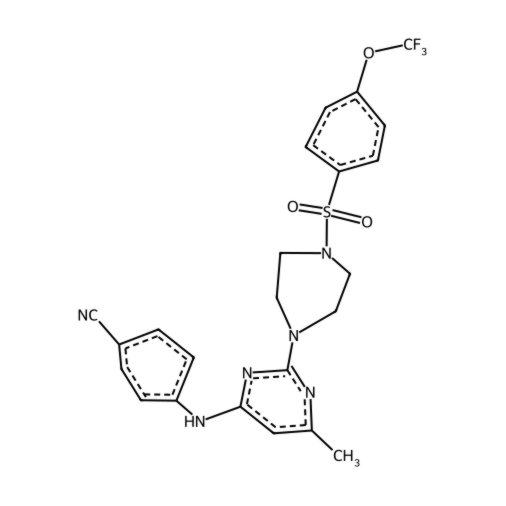 Cc1cc(Nc2ccc(C#N)cc2)nc(N2CCN(S(=O)(=O)c3ccc(OC(F)(F)F)cc3)CC2)n1